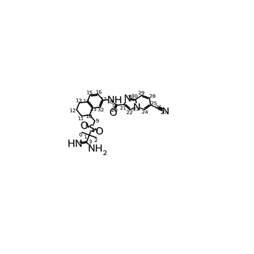 CC(C)(C(=N)N)S(=O)(=O)CC1CCCc2ccc(NC(=O)c3cn4cc(C#N)ccc4n3)cc21